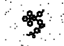 CCOC(=O)c1ccc(-n2cnc3ccc(-c4cn(C(c5ccccc5)(c5ccccc5)C5C=CC=CC5)nc4-c4ccc(F)cc4)cc32)nc1